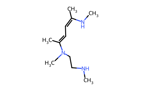 CNCCN(C)/C(C)=C/C=C(/C)NC